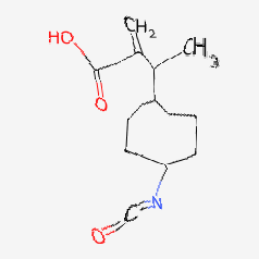 C=C(C(=O)O)C(C)C1CCC(N=C=O)CC1